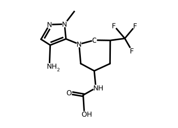 Cn1ncc(N)c1N1CC(NC(=O)O)CC(C(F)(F)F)C1